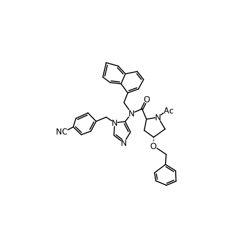 CC(=O)N1C[C@H](OCc2ccccc2)CC1C(=O)N(Cc1cccc2ccccc12)c1cncn1Cc1ccc(C#N)cc1